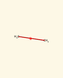 CCCCCCCCCCCCCCCCCCCCCCCCCCCCCCCCCCCCCCCC(=O)OCCCCCCCCCCCCCCCCCCCCCCCCCCCCCCCCCC